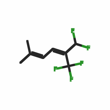 CC(C)=C/C=C(/C(F)F)C(F)(F)F